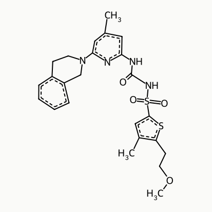 COCCc1sc(S(=O)(=O)NC(=O)Nc2cc(C)cc(N3CCc4ccccc4C3)n2)cc1C